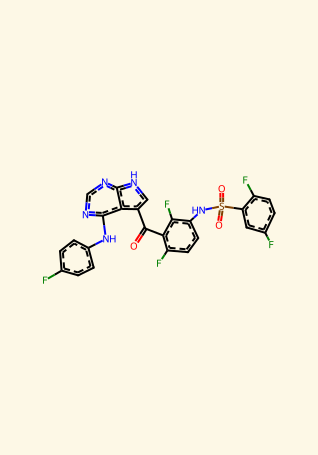 O=C(c1c(F)ccc(NS(=O)(=O)c2cc(F)ccc2F)c1F)c1c[nH]c2ncnc(Nc3ccc(F)cc3)c12